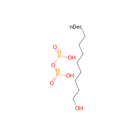 CCCCCCCCCCCCCCCCCCO.O=[PH](O)O[PH](=O)O